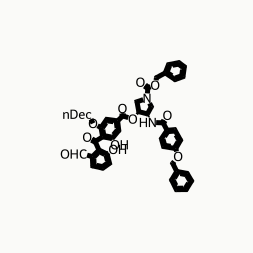 CCCCCCCCCCOc1cc(C(=O)O[C@H]2CN(C(=O)OCc3ccccc3)C[C@@H]2NC(=O)c2ccc(OCc3ccccc3)cc2)cc(O)c1C(=O)c1c(O)cccc1C=O